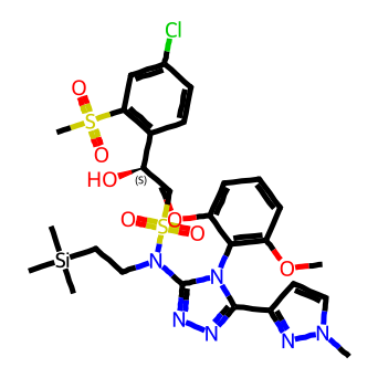 COc1cccc(OC)c1-n1c(-c2ccn(C)n2)nnc1N(CC[Si](C)(C)C)S(=O)(=O)C[C@@H](O)c1ccc(Cl)cc1S(C)(=O)=O